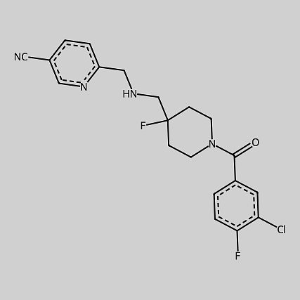 N#Cc1ccc(CNCC2(F)CCN(C(=O)c3ccc(F)c(Cl)c3)CC2)nc1